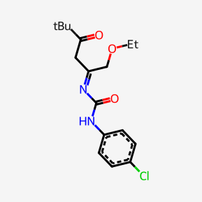 CCOC/C(CC(=O)C(C)(C)C)=N\C(=O)Nc1ccc(Cl)cc1